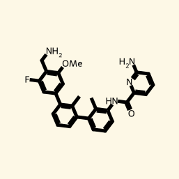 COc1cc(-c2cccc(-c3cccc(NC(=O)c4cccc(N)n4)c3C)c2C)cc(F)c1CN